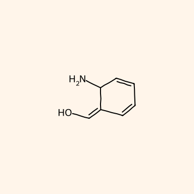 NC1C=CC=CC1=CO